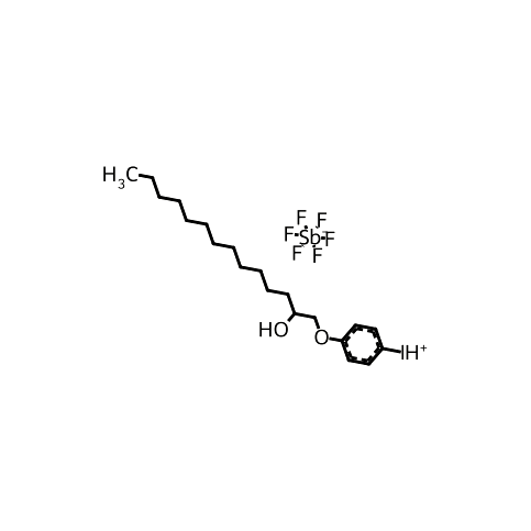 CCCCCCCCCCCCC(O)COc1ccc([IH+])cc1.[F][Sb-]([F])([F])([F])([F])[F]